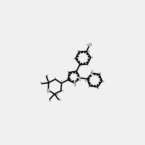 CC1(C)CC(c2cc(-c3ccc(Cl)cc3)n(-c3ccccn3)n2)CC(C)(C)O1